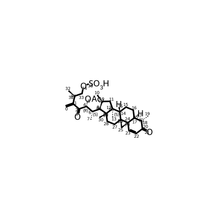 C=C(C(=O)[C@H](OC(C)=O)[C@@H](C)[C@H]1[C@@H](C)C[C@@]2(C)[C@@H]3CC[C@H]4[C@H](C)C(=O)C=C[C@@]45C[C@@]35CC[C@]12C)[C@@H](C)COS(=O)(=O)O